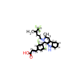 C=C(CCCN1C(C)Cc2c([nH]c3ccccc23)C1c1c(F)cc(/C=C/C(=O)O)cc1F)C(F)(F)F